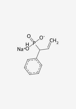 C=CC(c1ccccc1)P(=O)([O-])O.[Na+]